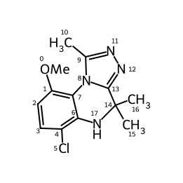 COc1ccc(Cl)c2c1-n1c(C)nnc1C(C)(C)N2